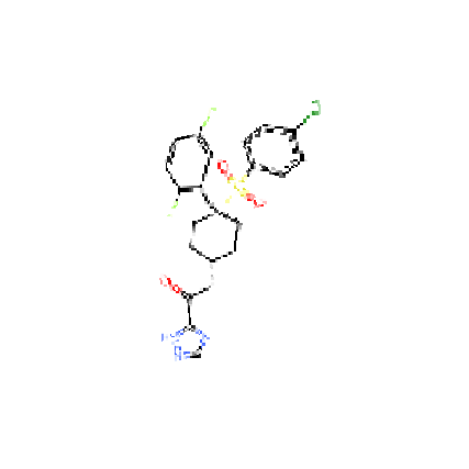 O=C(C[C@H]1CC[C@@]([C@@H]2C=C(F)C=CC2F)(S(=O)(=O)c2ccc(Cl)cc2)CC1)c1ncn[nH]1